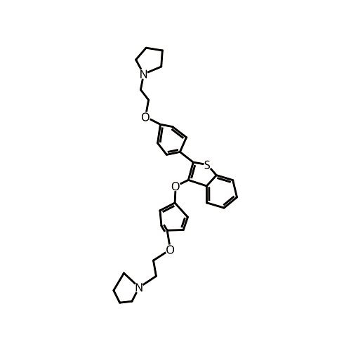 c1ccc2c(Oc3ccc(OCCN4CCCC4)cc3)c(-c3ccc(OCCN4CCCC4)cc3)sc2c1